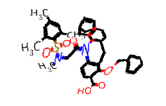 Cc1cc(C)c(S(=O)(=O)N(C)CC(=O)N(CC2CC3C=CC2C3)c2ccc(C(=O)O)c(OCc3ccccc3)c2Cc2ccccc2)c(C)c1